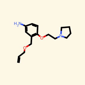 C=CCOCc1cc(N)ccc1OCCN1CCCC1